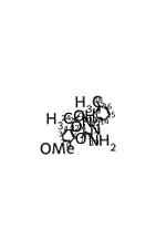 COc1ccccc1Oc1c(N)nc(-c2cccc(C)c2)nc1OC(C)O